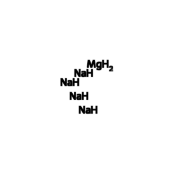 [MgH2].[NaH].[NaH].[NaH].[NaH]